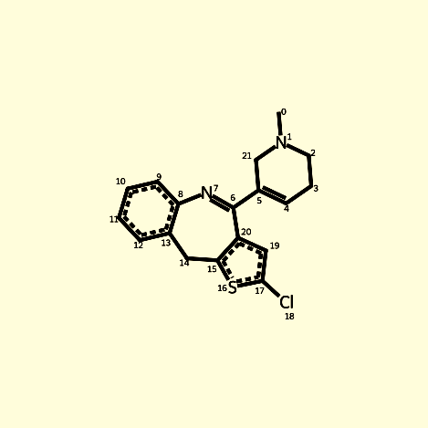 CN1CCC=C(C2=Nc3ccccc3Cc3sc(Cl)cc32)C1